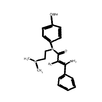 COc1ccc(N(CCN(C)C)C(=O)/C(C(C)=O)=C(\N)c2ccccc2)cc1